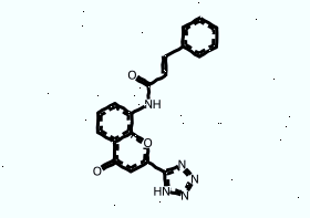 O=C(C=Cc1ccccc1)Nc1cccc2c(=O)cc(-c3nnn[nH]3)oc12